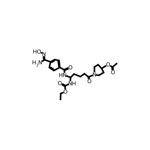 CCOC(=O)NC(CCCC(=O)N1CCC(OC(C)=O)CC1)NC(=O)c1ccc(C(N)=NO)cc1